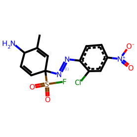 CC1=CC(/N=N/c2ccc([N+](=O)[O-])cc2Cl)(S(=O)(=O)F)C=CC1N